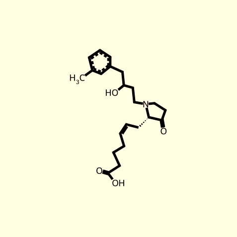 Cc1cccc(CC(O)CCN2CCC(=O)[C@@H]2C/C=C\CCCC(=O)O)c1